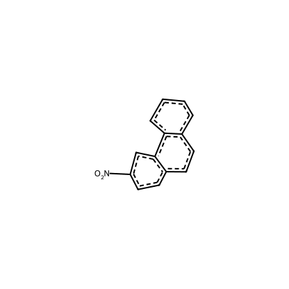 O=[N+]([O-])c1ccc2ccc3ccccc3c2c1